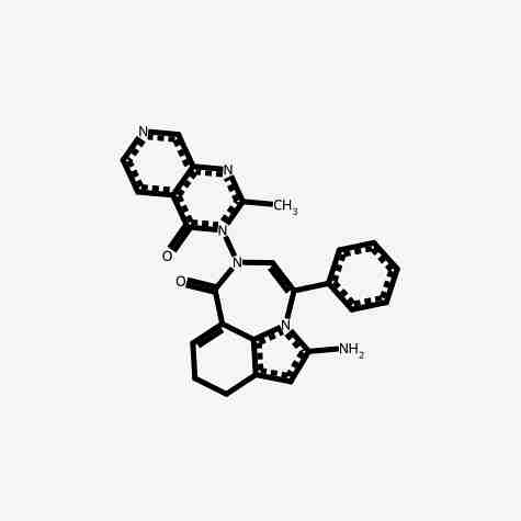 Cc1nc2cnccc2c(=O)n1N1C=C(c2ccccc2)n2c(N)cc3c2C(=CCC3)C1=O